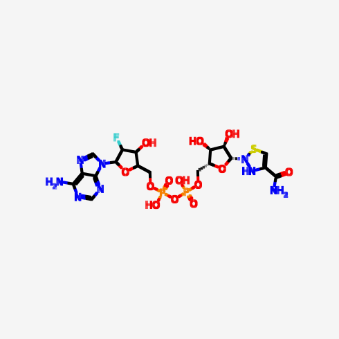 NC(=O)C1=CSN([C@@H]2O[C@H](COP(=O)(O)OP(=O)(O)OCC3OC(n4cnc5c(N)ncnc54)C(F)C3O)[C@@H](O)[C@H]2O)N1